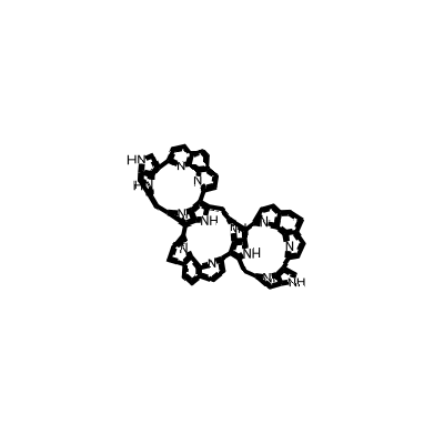 c1cc2ccc3ccc4nc3c2nc1-c1c[nH]c2cc([nH]c12)Cc1[nH]c2c-4c3[nH]c2c1-c1ccc2ccc4ccc(nc4c2n1)-c1c2[nH]c4c(c([nH]c14)C3)-c1ccc3ccc4ccc(nc4c3n1)-c1c[nH]c3cc([nH]c13)C2